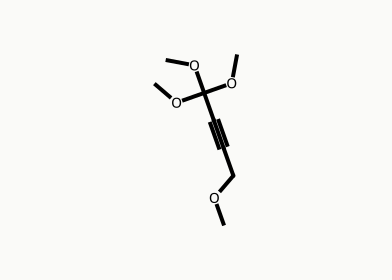 COCC#CC(OC)(OC)OC